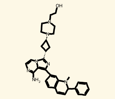 CN1c2cc(-c3nc([C@H]4C[C@@H](N5CCN(CCO)CC5)C4)n4ccnc(N)c34)ccc2C=CC1c1ccccc1